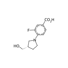 O=C(O)c1ccc(N2CC[C@H](CO)C2)c(F)c1